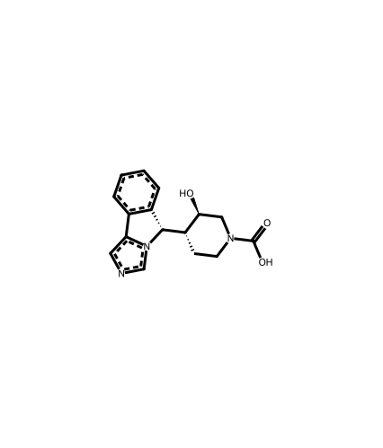 O=C(O)N1CC[C@H]([C@H]2c3ccccc3-c3cncn32)[C@@H](O)C1